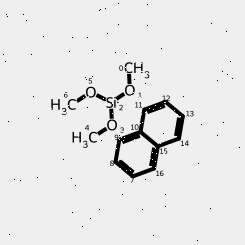 CO[Si](OC)OC.c1ccc2ccccc2c1